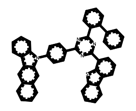 c1ccc(-c2ccccc2-c2nc(-c3ccc(-n4c5ccccc5c5cc6ccccc6cc54)cc3)nc(-c3cccc4c3sc3ccccc34)n2)cc1